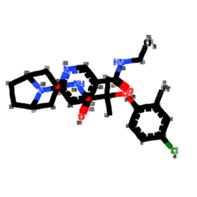 CC(C)c1cc(Cl)ccc1OC(C)(C)C(=O)NC1CC2CCC(C1)N2c1ccc(C(=O)NCC(F)(F)F)cn1